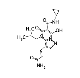 CC(C)Cn1c(=O)c(C(=O)NC2CC2)c(O)n2ncc(C=CC(N)=O)c12